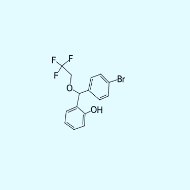 Oc1ccccc1C(OCC(F)(F)F)c1ccc(Br)cc1